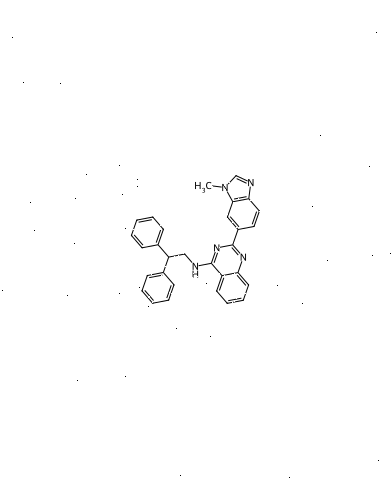 Cn1cnc2ccc(-c3nc(NCC(c4ccccc4)c4ccccc4)c4ccccc4n3)cc21